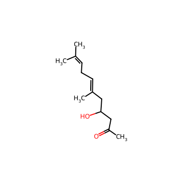 CC(=O)CC(O)C/C(C)=C/CC=C(C)C